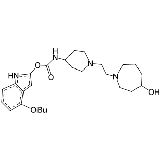 CC(C)COc1cccc2[nH]c(OC(=O)NC3CCN(CCN4CCCC(O)CC4)CC3)cc12